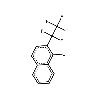 [O]c1c(C(F)(F)C(F)(F)F)ccc2ccccc12